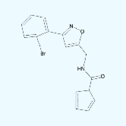 O=C(NCc1cc(-c2ccccc2Br)no1)C1C=CC=C1